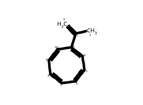 C=C(C)C1=CC=CC=CC=C1